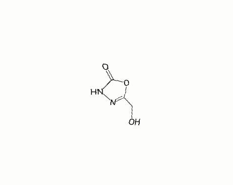 O=c1[nH]nc(CO)o1